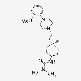 COc1ccccc1N1CCN(CCC2(F)CCC(NC(=O)N(C)C)CC2)CC1